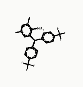 Cc1cc(C)c(N)c(C(c2ccc(C(F)(F)F)cc2)c2ccc(C(F)(F)F)cc2)c1